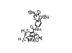 COC1(Cn2nc(C(C)(F)F)c(C)c2C(=O)Nc2ccnc(SN(C(=O)OC(C)(C)C)C(C)(C)C)c2)CC1